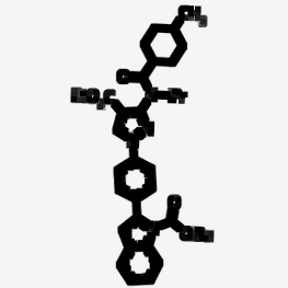 CCOC(=O)c1cn(-c2ccc(-c3cc4ccccc4n3C(=O)OCC(C)C)cc2)nc1N(C(=O)C1CCC(C)CC1)C(C)C